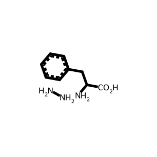 NC(Cc1ccccc1)C(=O)O.NN